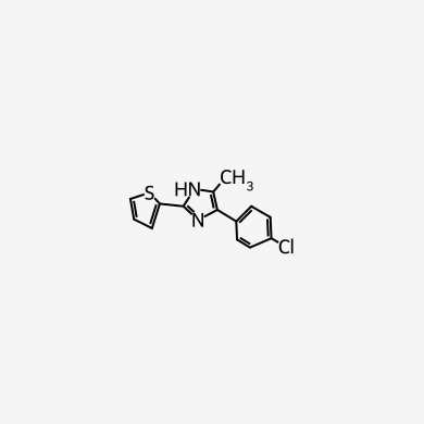 Cc1[nH]c(-c2cccs2)nc1-c1ccc(Cl)cc1